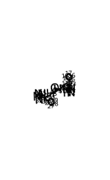 CC(CCCCC(=O)CCCCC(C)(c1ccccc1)c1nnn[nH]1)(c1ccccc1)c1nnn[nH]1